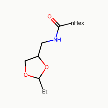 CCCCCCC(=O)NCC1COC(CC)O1